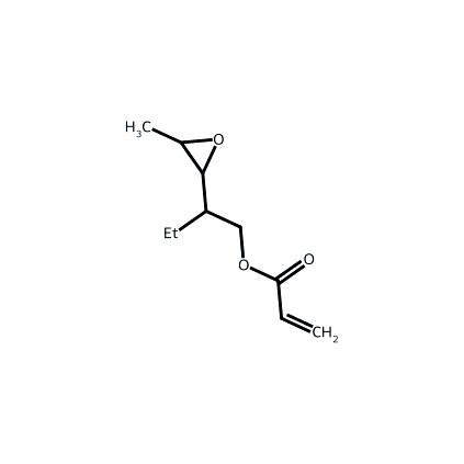 C=CC(=O)OCC(CC)C1OC1C